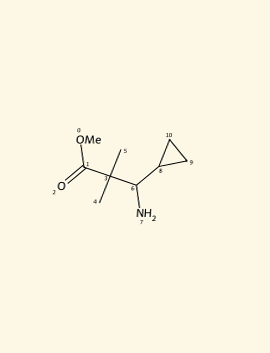 COC(=O)C(C)(C)C(N)C1CC1